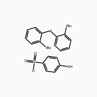 CC(C)(C)c1ccccc1[I+]c1ccccc1C(C)(C)C.O=S(=O)([O-])c1ccc(O)cc1